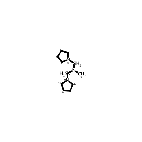 CN([SiH2]N1CCCC1)[SiH2]N1CCCC1